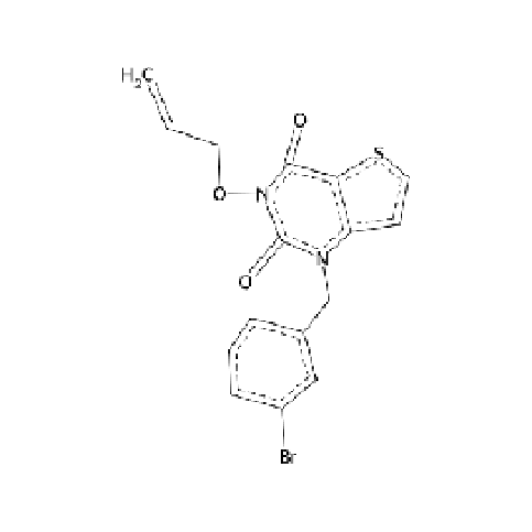 C=CCOn1c(=O)c2sccc2n(Cc2cccc(Br)c2)c1=O